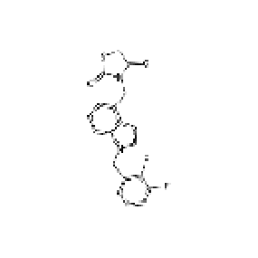 O=C1CSC(=O)N1Cc1cccc2c1ccn2Cc1cccc(F)c1F